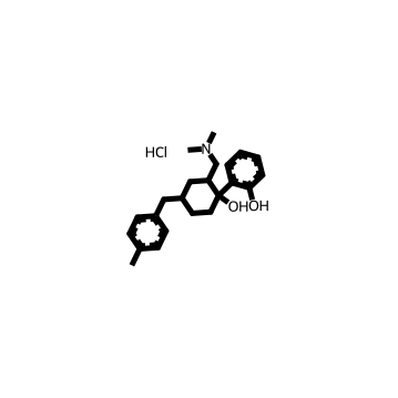 Cc1ccc(CC2CCC(O)(c3ccccc3O)C(CN(C)C)C2)cc1.Cl